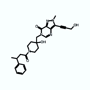 CC(CC(=O)N1CCC(O)(Cn2cnc3c(C#CCO)n(C)nc3c2=O)CC1)c1ccccc1